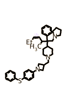 CC/C=C\C(C)C(CN1CCCC1)(c1ccccc1)C1CCN(CC2CN(c3ccc(Sc4ccccc4)cc3)C2)CC1